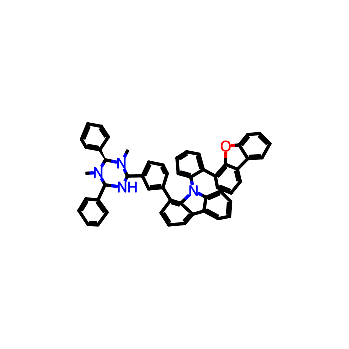 CN1C(c2ccccc2)NC(c2cccc(-c3cccc4c5ccccc5n(-c5ccccc5-c5cccc6c5oc5ccccc56)c34)c2)N(C)[C@@H]1c1ccccc1